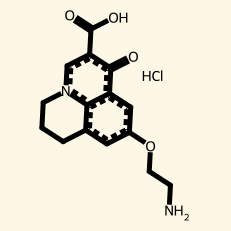 Cl.NCCOc1cc2c3c(c1)c(=O)c(C(=O)O)cn3CCC2